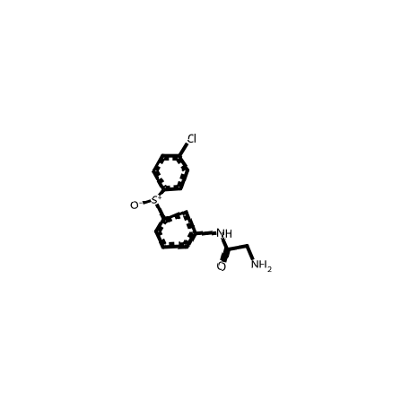 NCC(=O)Nc1cccc([S+]([O-])c2ccc(Cl)cc2)c1